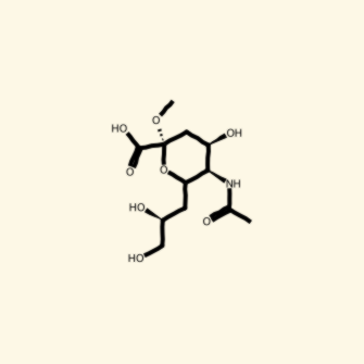 CO[C@]1(C(=O)O)C[C@@H](O)[C@@H](NC(C)=O)C(C[C@H](O)CO)O1